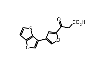 O=C(O)CC(=O)c1cc(-c2coc3ccsc23)co1